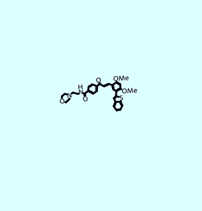 COc1cc(OC)c(-c2cc3ccccc3s2)cc1C=CC(=O)c1ccc(C(=O)NCCN2CCOCC2)cc1